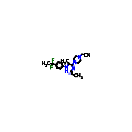 C=C(Nc1ccc(C(C)(F)F)cc1)/C(=N\C=C/C)N1CCN(CC#N)CC1